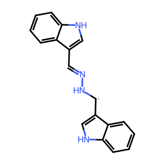 [CH](NN=Cc1c[nH]c2ccccc12)c1c[nH]c2ccccc12